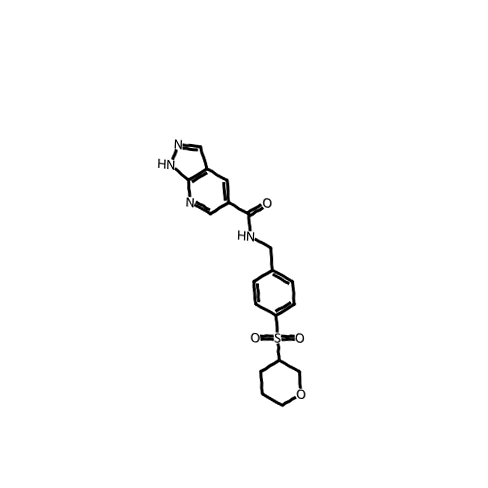 O=C(NCc1ccc(S(=O)(=O)C2CCCOC2)cc1)c1cnc2[nH]ncc2c1